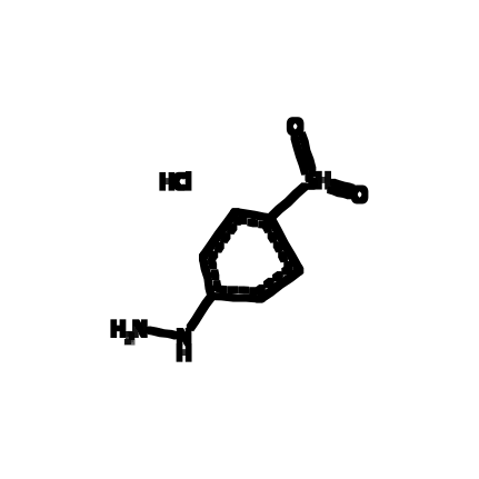 Cl.NNc1ccc([SH](=O)=O)cc1